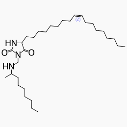 CCCCCCCC/C=C\CCCCCCCCC1NC(=O)N(CNC(C)CCCCCCC)C1=O